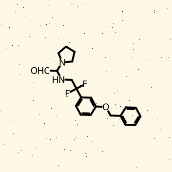 O=CC(NCC(F)(F)c1cccc(OCc2ccccc2)c1)N1CCCC1